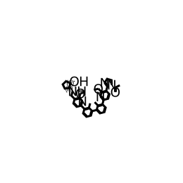 COc1nc(-c2cccc(-c3cccc(-c4ccc(C5=NCCN5C(C)=O)c(OC)n4)c3C)c2C)ccc1CN[C@@H]1CCC[C@@H]1O